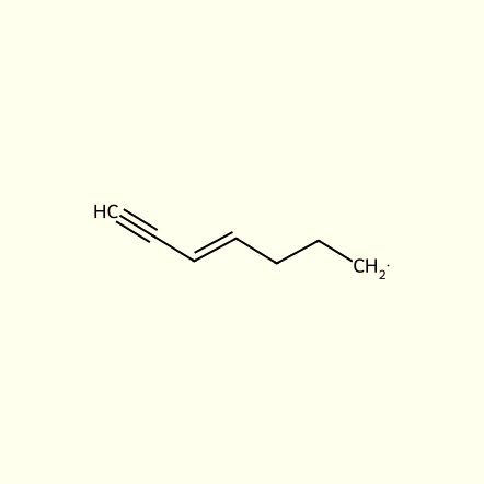 C#CC=CCC[CH2]